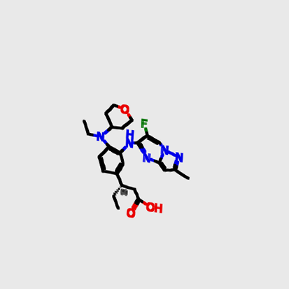 CC[C@@H](CC(=O)O)c1ccc(N(CC)C2CCOCC2)c(Nc2nc3cc(C)nn3cc2F)c1